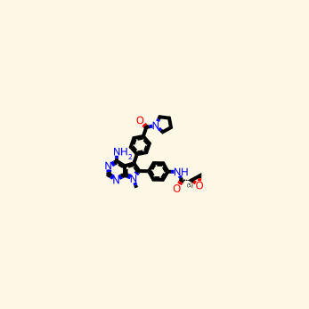 Cn1c(-c2ccc(NC(=O)[C@@H]3CO3)cc2)c(-c2ccc(C(=O)N3CCCC3)cc2)c2c(N)ncnc21